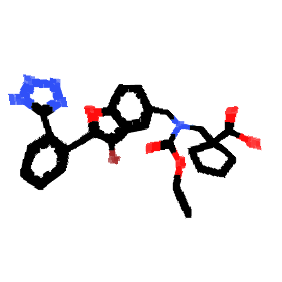 CCOC(=O)N(Cc1ccc2oc(-c3ccccc3-c3nnn[nH]3)c(Br)c2c1)CC1(C(=O)O)CCCC1